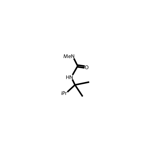 CNC(=O)NC(C)(C)C(C)C